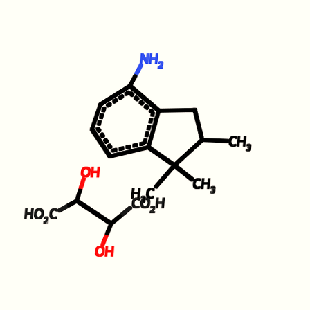 CC1Cc2c(N)cccc2C1(C)C.O=C(O)C(O)C(O)C(=O)O